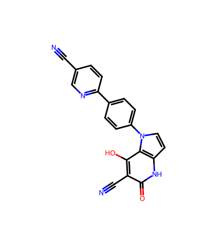 N#Cc1ccc(-c2ccc(-n3ccc4[nH]c(=O)c(C#N)c(O)c43)cc2)nc1